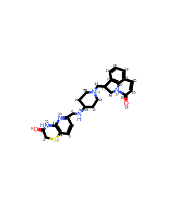 O=C1CSc2ccc(CNC3CCN(CC4Cn5c(=O)ccc6cccc4c65)CC3)nc2N1